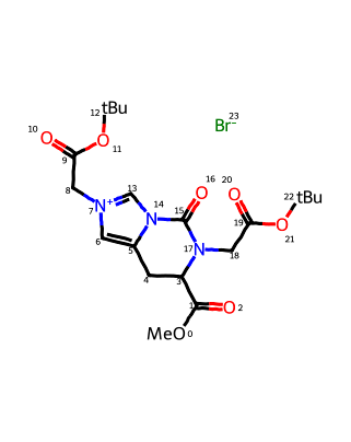 COC(=O)C1Cc2c[n+](CC(=O)OC(C)(C)C)cn2C(=O)N1CC(=O)OC(C)(C)C.[Br-]